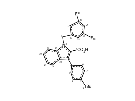 CC(C)(C)c1ccc(-c2c(C(=O)O)n(Cc3cc(F)cc(F)c3)c3ccccc23)cc1